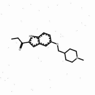 CCC(=O)c1cc2cc(OCC3CCN(C)CC3)ccc2[nH]1